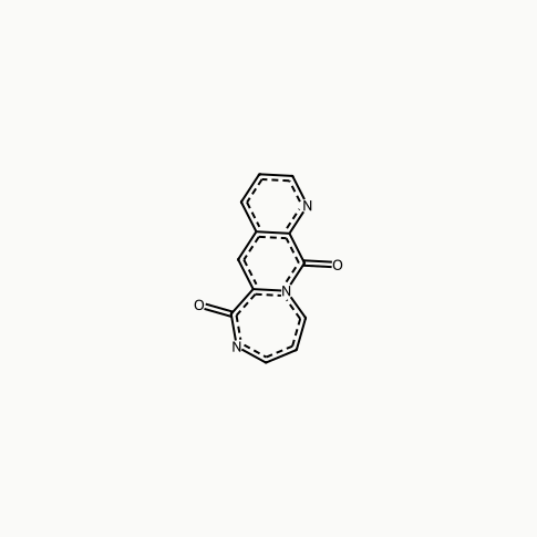 O=c1ncccn2c(=O)c3ncccc3cc12